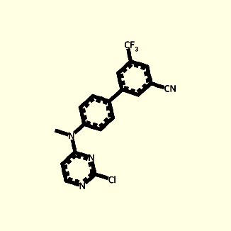 CN(c1ccc(-c2cc(C#N)cc(C(F)(F)F)c2)cc1)c1ccnc(Cl)n1